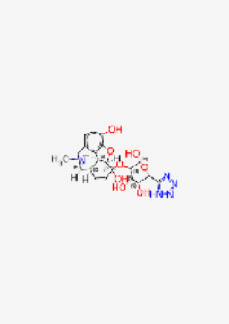 CN1CC[C@]23c4c5ccc(O)c4O[C@H]2[C@](O)(O[C@@H]2[C@@H](O)[C@H](O)C(c4nnn[nH]4)O[C@H]2O)C=C[C@H]3[C@H]1C5